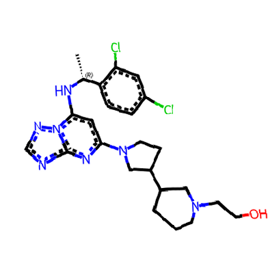 C[C@@H](Nc1cc(N2CCC(C3CCCN(CCO)C3)C2)nc2ncnn12)c1ccc(Cl)cc1Cl